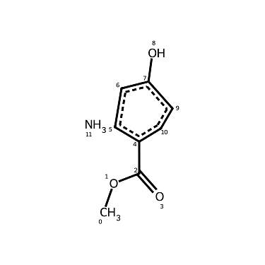 COC(=O)c1ccc(O)cc1.N